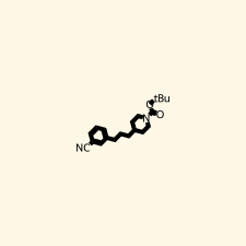 CC(C)(C)OC(=O)N1CCC(CCCc2cccc(C#N)c2)CC1